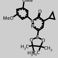 COc1cc(OC)cc(-n2nc(B3OC(C)(C)C(C)(C)O3)cc(C3CC3)c2=O)c1